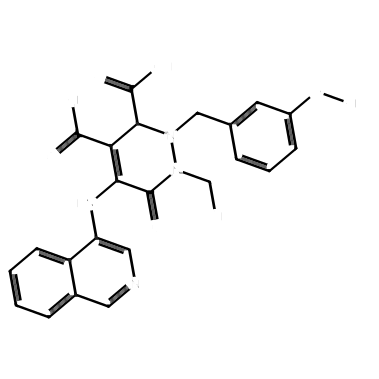 CCN1C(=O)C(Nc2cncc3ccccc23)=C(C(C)=O)C(C(=O)O)N1Cc1cccc(OC)c1